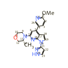 COc1ccc(-c2cc(N3CCOC[C@H]3C)nc3c2ccn3-c2cc[nH]n2)cn1